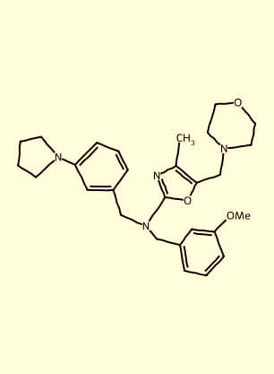 COc1cccc(CN(Cc2cccc(N3CCCC3)c2)c2nc(C)c(CN3CCOCC3)o2)c1